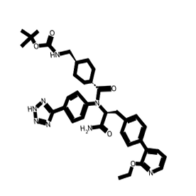 CCOc1ncccc1-c1ccc(C[C@@H](C(N)=O)N(c2ccc(-c3nn[nH]n3)cc2)C(=O)[C@H]2CC[C@H](CNC(=O)OC(C)(C)C)CC2)cc1